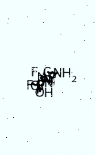 Cc1nc(N[C@H](C)c2cc(N)cc(C(F)(F)F)c2)c2cc(P(C)(C)=O)c(OCF)cc2n1